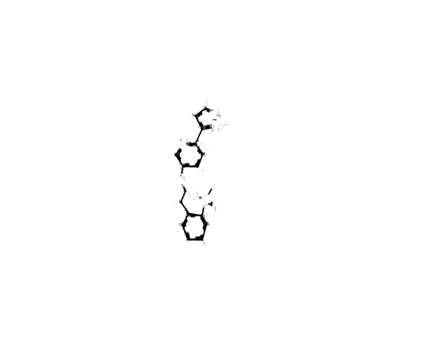 CS(=O)(=O)c1ccccc1CCOc1ccc(-c2ccn[nH]2)nc1